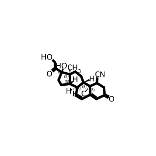 C[C@]12CC[C@H]3[C@@H](C=CC4=CC(=O)CC(C#N)[C@@]43C)[C@@H]1CC[C@]2(O)C(=O)CO